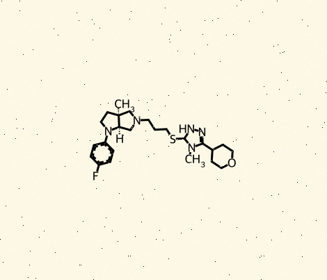 CN1C(C2CCOCC2)=NNC1SCCCN1C[C@H]2N(c3ccc(F)cc3)CC[C@@]2(C)C1